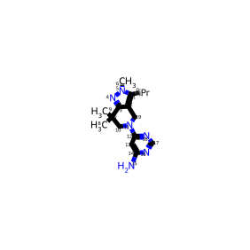 CC(C)c1c2c(nn1C)C(C)(C)CN(c1cc(N)ncn1)C2